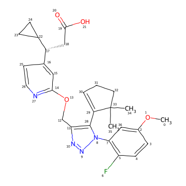 COc1ccc(F)c(-n2nnc(COc3cc([C@@H](CC(=O)O)C4CC4)ccn3)c2C2=CCCC2(C)C)c1